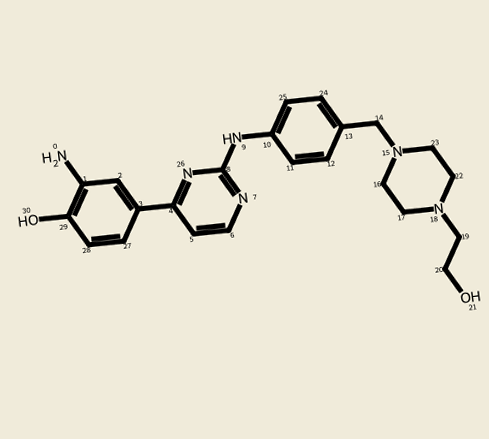 Nc1cc(-c2ccnc(Nc3ccc(CN4CCN(CCO)CC4)cc3)n2)ccc1O